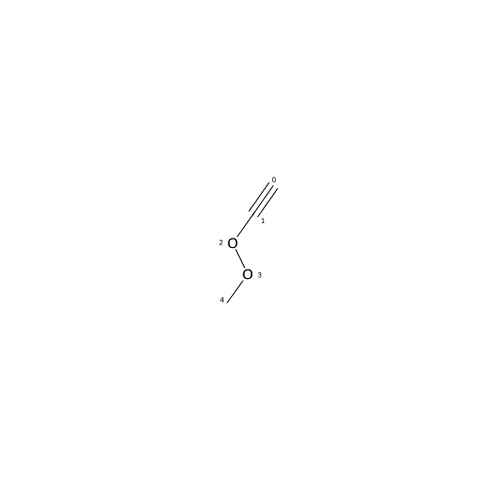 C#COOC